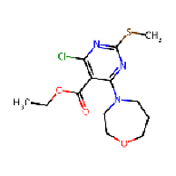 CCOC(=O)c1c(Cl)nc(SC)nc1N1CCCOCC1